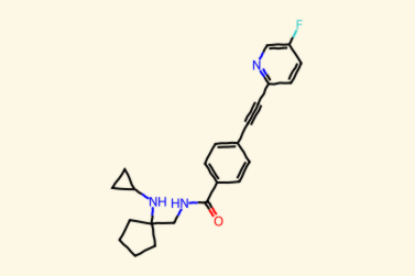 O=C(NCC1(NC2CC2)CCCC1)c1ccc(C#Cc2ccc(F)cn2)cc1